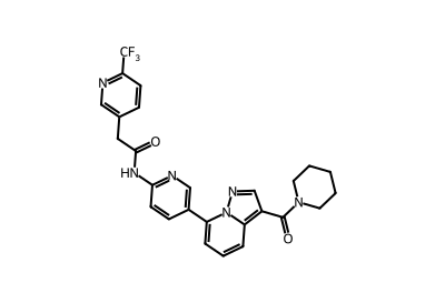 O=C(Cc1ccc(C(F)(F)F)nc1)Nc1ccc(-c2cccc3c(C(=O)N4CCCCC4)cnn23)cn1